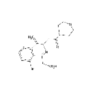 C=C1c2cccc(Br)c2C(CC(=O)O)=NN1CC(=O)N1CCOCC1